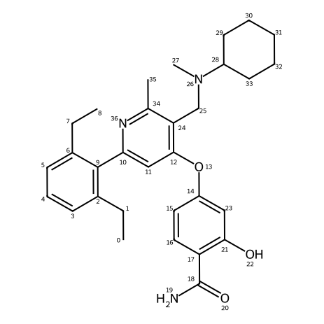 CCc1cccc(CC)c1-c1cc(Oc2ccc(C(N)=O)c(O)c2)c(CN(C)C2CCCCC2)c(C)n1